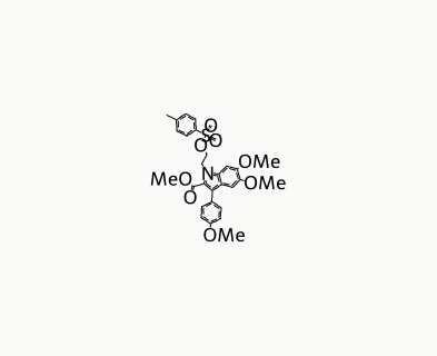 COC(=O)c1c(-c2ccc(OC)cc2)c2cc(OC)c(OC)cc2n1CCOS(=O)(=O)c1ccc(C)cc1